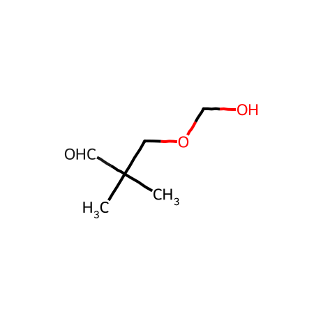 CC(C)(C=O)COCO